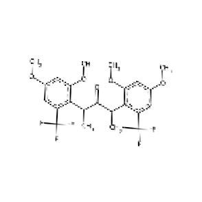 COc1cc(OC)c(C(C)C(=O)C(C)c2c(OC)cc(OC)cc2C(F)(F)F)c(C(F)(F)F)c1